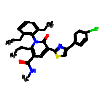 CCc1cccc(CC)c1-n1c(CC)c(C(=O)NC)cc(-c2nc(-c3ccc(Cl)cc3)cs2)c1=O